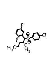 CCCC(C)C(c1cc(F)ccc1F)S(=O)(=O)c1ccc(Cl)cc1